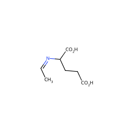 C/C=N\C(CCC(=O)O)C(=O)O